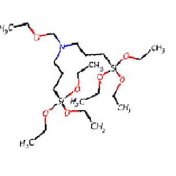 CCOCN(CCC[Si](OCC)(OCC)OCC)CCC[Si](OCC)(OCC)OCC